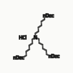 CCCCCCCCCCCCCCCCN(CCCCCCCCCCCCCCCC)CCCCCCCCCCCCCCCC.Cl